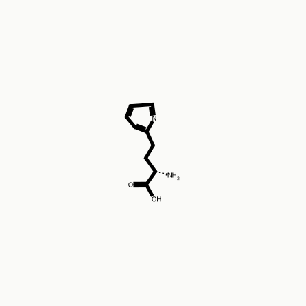 N[C@@H](CCc1ccccn1)C(=O)O